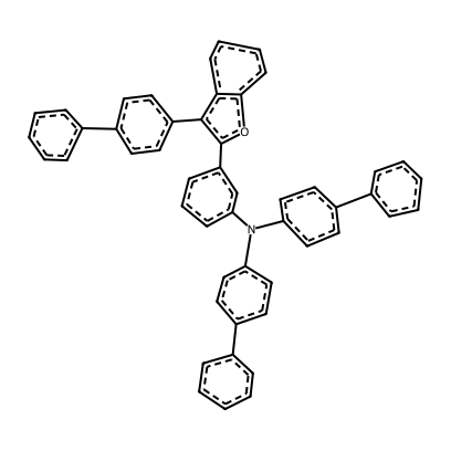 c1ccc(-c2ccc(-c3c(-c4cccc(N(c5ccc(-c6ccccc6)cc5)c5ccc(-c6ccccc6)cc5)c4)oc4ccccc34)cc2)cc1